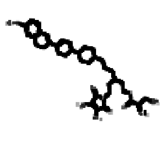 C=C(CO)C(=O)OCCC(CCCC1CCC(C2CC=C(C3=Cc4ccc(CCCCC)cc4CC3)CC2)CC1)CCN1C(=O)C(C)=C(C)C1=O